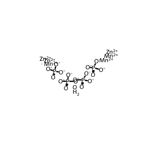 O.O=P([O-])([O-])[O-].O=P([O-])([O-])[O-].O=P([O-])([O-])[O-].O=P([O-])([O-])[O-].[Mn+2].[Mn+2].[Mn+2].[Zn+2].[Zn+2].[Zn+2]